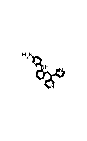 Nc1ccc(Nc2ccccc2CC(c2cccnc2)c2cccnc2)nc1